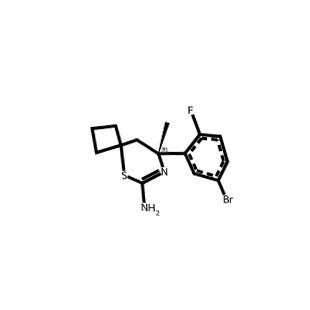 C[C@]1(c2cc(Br)ccc2F)CC2(CCC2)SC(N)=N1